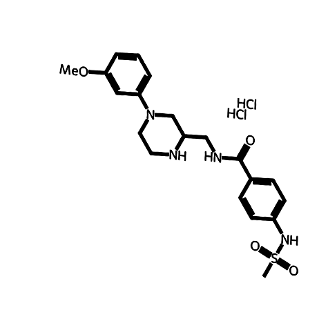 COc1cccc(N2CCNC(CNC(=O)c3ccc(NS(C)(=O)=O)cc3)C2)c1.Cl.Cl